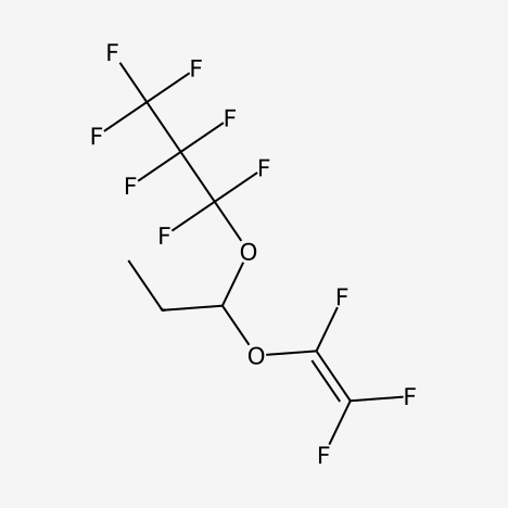 CCC(OC(F)=C(F)F)OC(F)(F)C(F)(F)C(F)(F)F